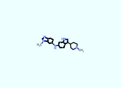 CN1CCC(c2c[nH]c3cc(Nc4ccc5ncn(C)c5c4)ccc23)CC1